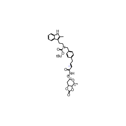 Cc1[nH]c2ccccc2c1CCN(Cc1ccc(C/C=C/C(=O)NO[C@H]2CC3OC(=O)OC3[C@H](C)O2)cc1)C(=O)OC(C)(C)C